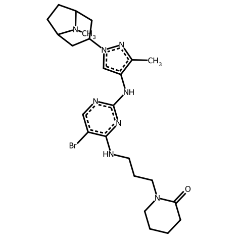 Cc1nn(C2CC3CCC(C2)N3C)cc1Nc1ncc(Br)c(NCCCN2CCCCC2=O)n1